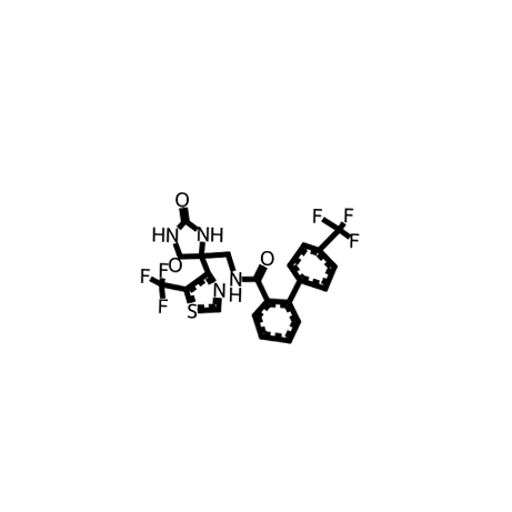 O=C1NC(=O)C(CNC(=O)c2ccccc2-c2ccc(C(F)(F)F)cc2)(c2ncsc2C(F)(F)F)N1